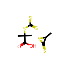 CC(C)(SC(=S)S)C(=O)O.CC1SC1=S